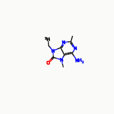 [3H]Cn1c(=O)n(C)c2c(N)nc(C)nc21